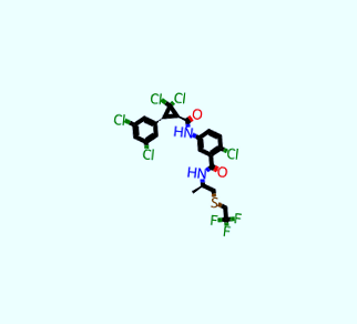 C[C@H](CSCC(F)(F)F)NC(=O)c1cc(NC(=O)[C@H]2[C@H](c3cc(Cl)cc(Cl)c3)C2(Cl)Cl)ccc1Cl